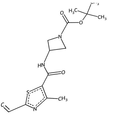 C=Cc1nc(C)c(C(=O)NC2CN(C(=O)OC(C)(C)C)C2)s1